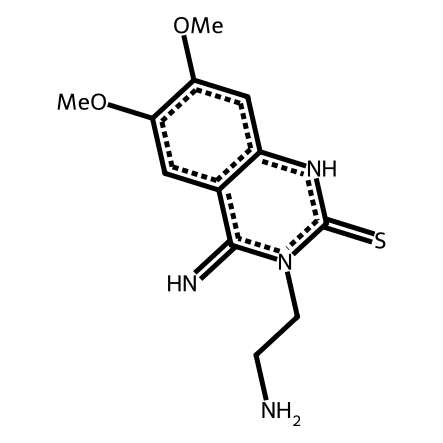 COc1cc2[nH]c(=S)n(CCN)c(=N)c2cc1OC